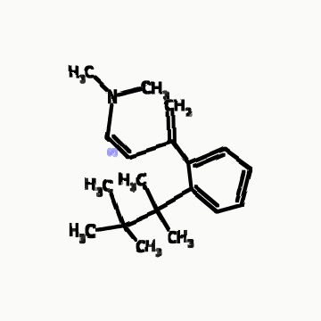 C=C(/C=C\N(C)C)c1ccccc1C(C)(C)C(C)(C)C